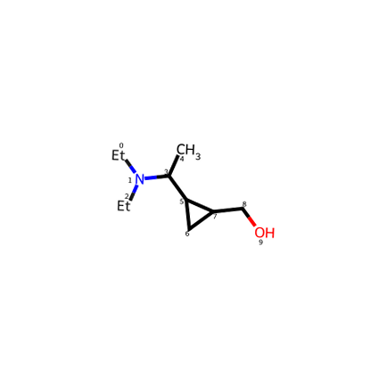 CCN(CC)C(C)C1CC1CO